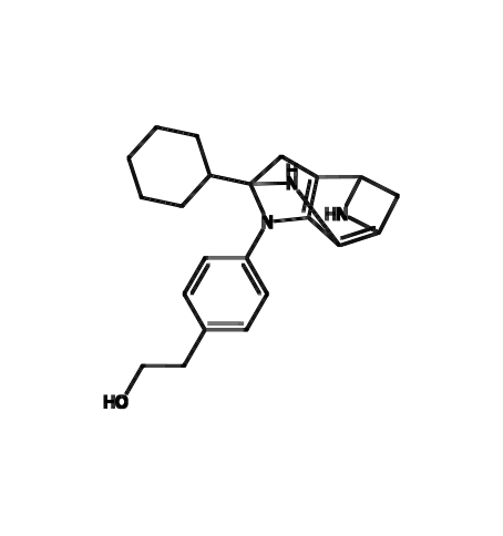 OCCc1ccc(N2C3=C4CC2(C2CCCCC2)NC3=C2CC4N2)cc1